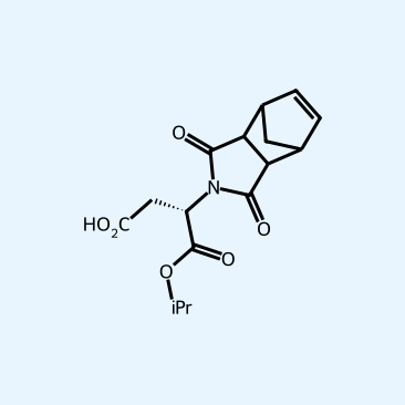 CC(C)OC(=O)[C@H](CC(=O)O)N1C(=O)C2C3C=CC(C3)C2C1=O